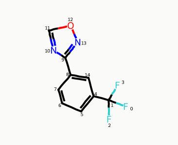 FC(F)(F)c1cccc(-c2ncon2)c1